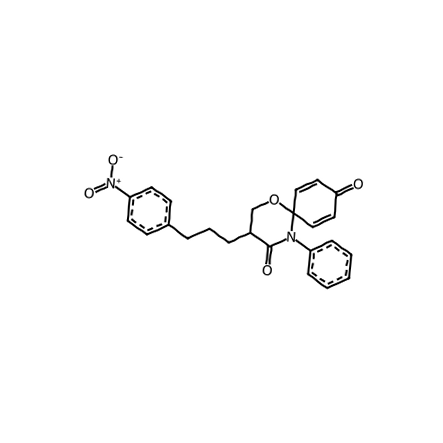 O=C1C=CC2(C=C1)OCC(CCCc1ccc([N+](=O)[O-])cc1)C(=O)N2c1ccccc1